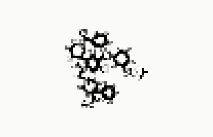 CC(=O)N(C)C1(c2ccccc2)CCN(CCC[C@]2(c3ccc(Cl)c(Cl)c3)CCCN(C(=O)c3ccccc3)C2)CC1.O=S(=O)(O)c1ccccc1